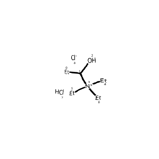 CCC(O)[N+](CC)(CC)CC.Cl.[Cl-]